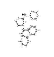 c1ccc(Nc2cccc(-c3cc4ccccc4c4ccccc34)c2)cc1